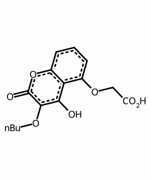 CCCCOc1c(O)c2c(OCC(=O)O)cccc2oc1=O